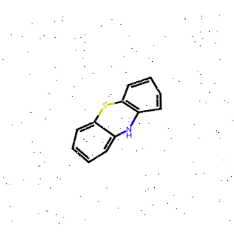 [c]1cccc2c1Sc1ccccc1N2